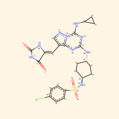 O=C1NC(=O)/C(=C/c2cnn3c(NC4CC4)nc(N[C@H]4CC[C@H](NS(=O)(=O)c5ccc(F)cc5)CC4)nc23)N1